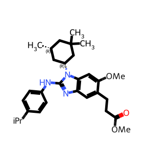 COC(=O)CCc1cc2nc(Nc3ccc(C(C)C)cc3)n([C@@H]3C[C@H](C)CC(C)(C)C3)c2cc1OC